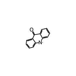 O=C1c2ccccc2[N]c2ccccc21